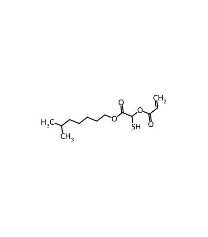 C=CC(=O)OC(S)C(=O)OCCCCCC(C)C